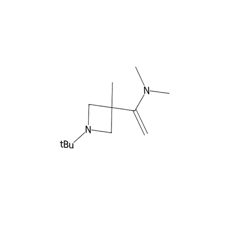 C=C(N(C)C)C1(C)CN(C(C)(C)C)C1